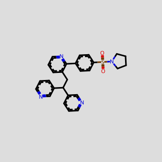 O=S(=O)(c1ccc(-c2ncccc2CC(c2cccnc2)c2cccnc2)cc1)N1CCCC1